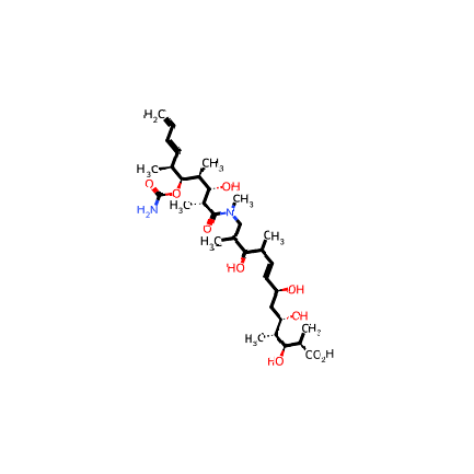 C=CC=C[C@H](C)[C@H](OC(N)=O)[C@@H](C)[C@H](O)[C@@H](C)C(=O)N(C)CC(C)C(O)C(C)C=C[C@@H](O)C[C@H](O)[C@@H](C)[C@H](O)[C@@H](C)C(=O)O